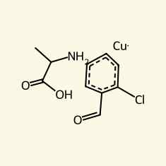 CC(N)C(=O)O.O=Cc1ccccc1Cl.[Cu]